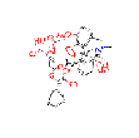 CC(=O)O[C@@H](CC(=O)O[C@H](C(=O)OC1=CC[C@@]2(O)[C@@H](C)N(C)CC[C@@]23c2c(C)ccc(O)c2O[C@@H]13)c1ccccc1)C(=O)O